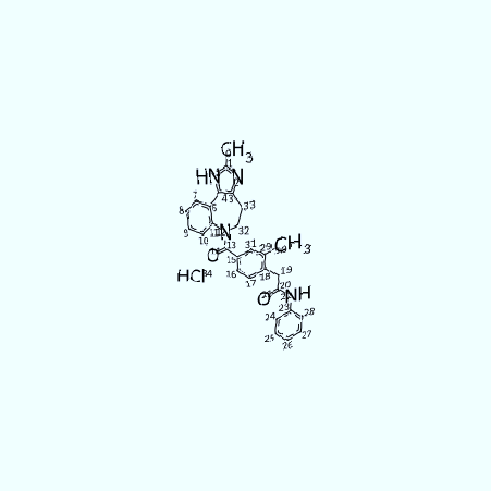 Cc1nc2c([nH]1)-c1ccccc1N(C(=O)c1ccc(CC(=O)Nc3ccccc3)c(C)c1)CC2.Cl